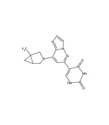 O=c1[nH]cc(-c2cc(N3CC4CC4(C(F)(F)F)C3)c3nccn3n2)c(=O)[nH]1